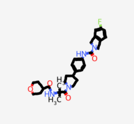 CC(C)(NC(=O)C1CCOCC1)C(=O)N1CCC(c2ccc(NC(=O)N3Cc4ccc(F)cc4C3)cc2)CC1